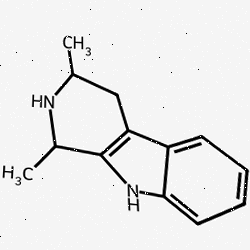 CC1Cc2c([nH]c3ccccc23)C(C)N1